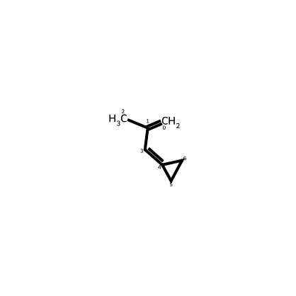 C=C(C)C=C1CC1